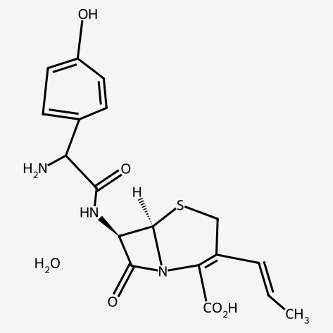 CC=CC1=C(C(=O)O)N2C(=O)[C@@H](NC(=O)C(N)c3ccc(O)cc3)[C@H]2SC1.O